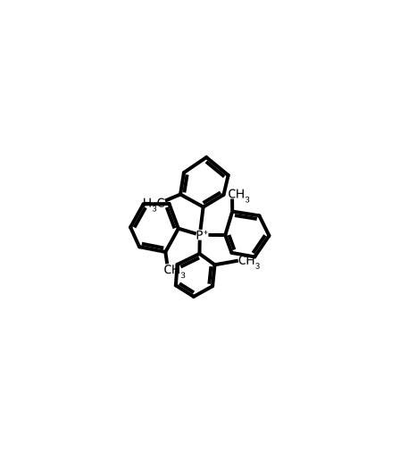 Cc1ccccc1[P+](c1ccccc1C)(c1ccccc1C)c1ccccc1C